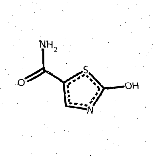 NC(=O)c1cnc(O)s1